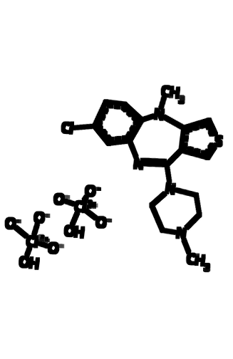 CN1CCN(C2=Nc3cc(Cl)ccc3N(C)c3cscc32)CC1.[O-][Cl+3]([O-])([O-])O.[O-][Cl+3]([O-])([O-])O